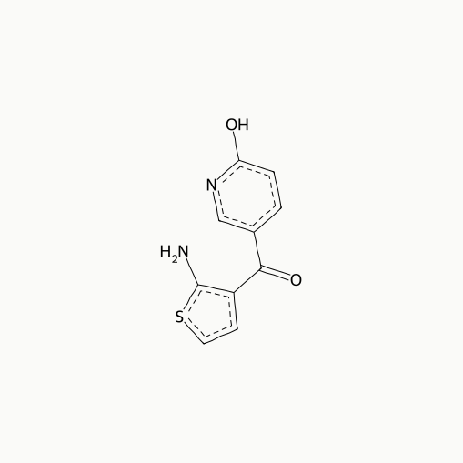 Nc1sccc1C(=O)c1ccc(O)nc1